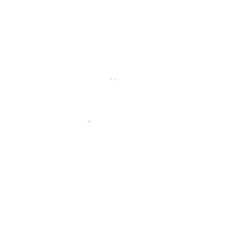 CC(=O)/C(=C/c1cccc(Br)c1)c1ccccn1